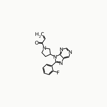 C=CC(=O)N1CCC(n2c(-c3ccccc3F)nc3cncnc32)C1